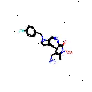 Cc1c(CN)c2c(ncc3c2ccn3Cc2ccc(F)cc2)c(=O)n1O